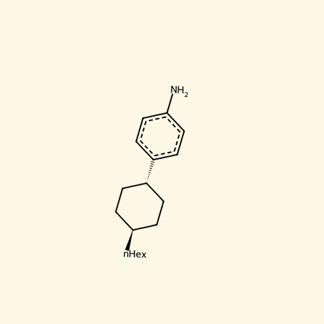 CCCCCC[C@H]1CC[C@H](c2ccc(N)cc2)CC1